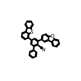 N#Cc1c(-c2ccccc2)cc(-c2cccc3c2sc2ccccc23)cc1-c1ccc2oc3ccccc3c2c1